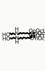 CCCCCCCCC(CCCCCCCC)OC(=O)CCCCCCCNCCCCO.CCCCCCCCC(CCCCCCCC)OC(=O)CCCCCCCNCCCCO